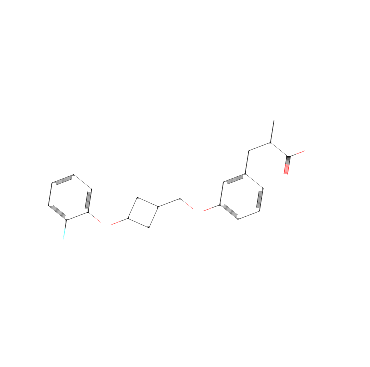 CC(Cc1cccc(OCC2CC(Oc3ccccc3F)C2)c1)C(=O)O